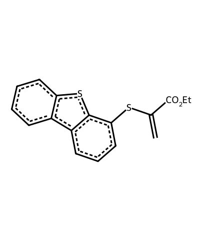 C=C(Sc1cccc2c1sc1ccccc12)C(=O)OCC